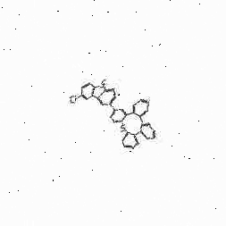 Clc1ccc2sc3ccc(-c4ccc5sc6ccccc6c6ccccc6c6ccccc6c5c4)cc3c2c1